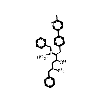 Cc1ccc(-c2ccc(C[C@@H]([C@@H](O)C[C@@H](N)Cc3ccccc3)N(Cc3ccccc3)C(=O)O)cc2)cn1